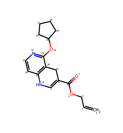 C=CCOC(=O)C1=CNc2ccnc(OC3CCCC3)c2C1